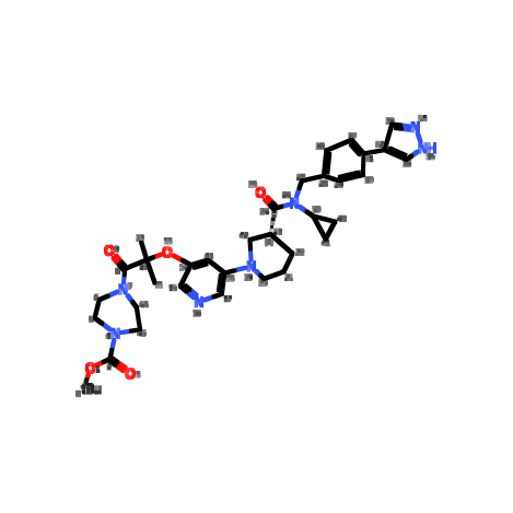 CC(C)(C)OC(=O)N1CCN(C(=O)C(C)(C)Oc2cncc(N3CCC[C@@H](C(=O)N(Cc4ccc(-c5cn[nH]c5)cc4)C4CC4)C3)c2)CC1